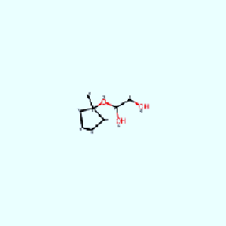 CC1(OC(O)CO)CCCC1